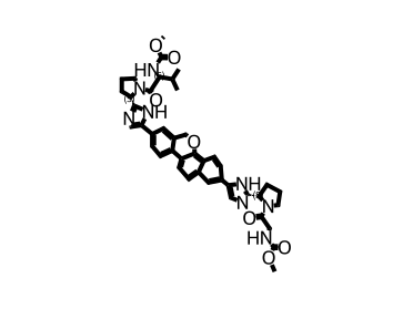 COC(=O)NCC(=O)N1CCC[C@H]1c1ncc(-c2ccc3c4c(ccc3c2)-c2ccc(-c3cnc([C@@H]5CCCN5C(=O)[C@@H](NC(=O)OC)C(C)C)[nH]3)cc2CO4)[nH]1